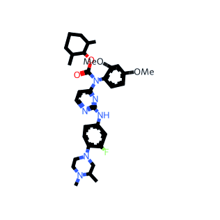 COc1ccc(N(C(=O)OC2C(C)CCCC2C)c2ccnc(Nc3ccc(N4CCN(C)C(C)C4)c(F)c3)n2)c(OC)c1